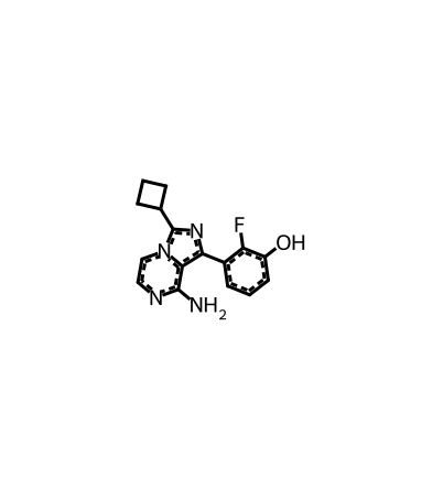 Nc1nccn2c(C3CCC3)nc(-c3cccc(O)c3F)c12